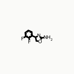 NC1=NC(c2cccc(F)c2F)CO1